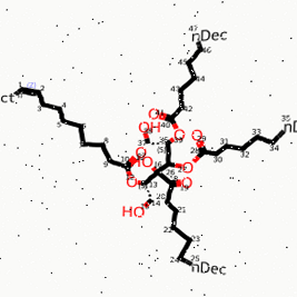 CCCCCCCC/C=C\CCCCCCCC(=O)O[C@@H](CO)C(O)(C(=O)CCCCCCCCCCCCCCC)C(OC(=O)CCCCCCCCCCCCCCC)[C@H](CO)OC(=O)CCCCCCCCCCCCCCC